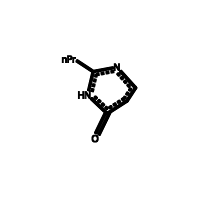 CCCc1nccc(=O)[nH]1